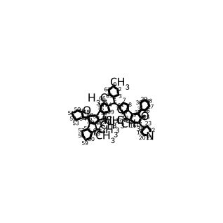 Cc1ccc(C(c2ccc3c(c2)C(C)(C)c2cc(-c4ccncc4)c4oc5ccccc5c4c2-3)c2ccc3c(c2)C(C)(C)c2c4c(c5c(oc6ccccc65)c2-3)-c2ccccc2C4(C)C)c(C)c1